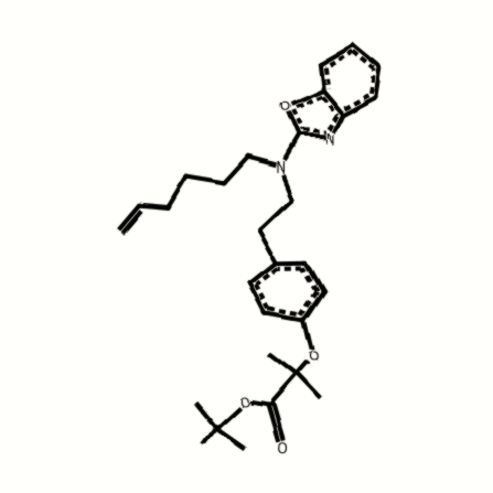 C=CCCCCN(CCc1ccc(OC(C)(C)C(=O)OC(C)(C)C)cc1)c1nc2ccccc2o1